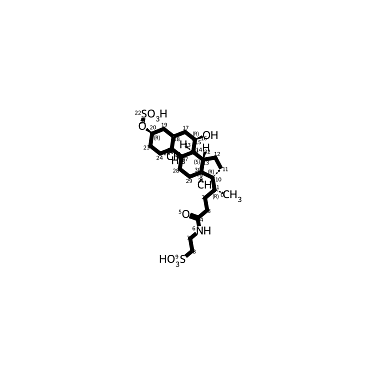 C[C@H](CCC(=O)NCCS(=O)(=O)O)[C@H]1CC[C@H]2[C@@H]3[C@H](O)CC4C[C@H](OS(=O)(=O)O)CC[C@]4(C)[C@H]3CC[C@]12C